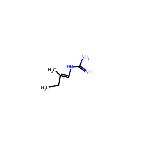 CC/C(C)=C/NC(=N)N